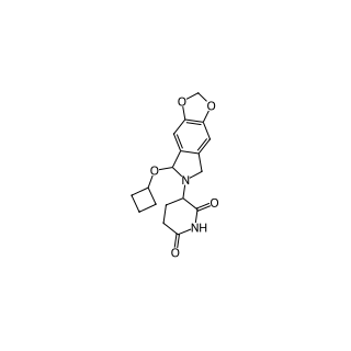 O=C1CCC(N2Cc3cc4c(cc3C2OC2CCC2)OCO4)C(=O)N1